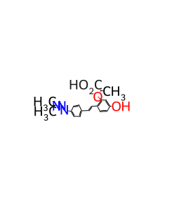 CC(Oc1cc(O)ccc1C=Cc1ccc(N=NN(C)C)cc1)C(=O)O